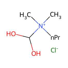 CCC[N+](C)(C)C(O)O.[Cl-]